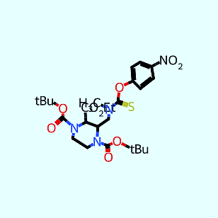 CCOC(=O)C1C(CN(C)C(=S)Oc2ccc([N+](=O)[O-])cc2)N(C(=O)OC(C)(C)C)CCN1C(=O)OC(C)(C)C